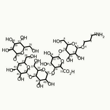 NCCCO[C@@H]1OC(CO)[C@@H](O[C@@H]2OC(C(=O)O)[C@@H](O[C@H]3OC(CO)[C@H](O[C@H]4OC(CO)[C@@H](O[C@@H]5OC(CO)[C@@H](O)[C@H](O)C5O)[C@H](O)C4O)[C@H](O)C3O)[C@H](O)C2O)[C@H](O)C1O